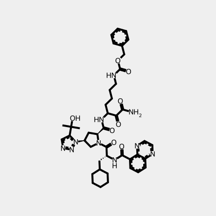 CC(C)(O)c1cnnn1[C@H]1C[C@@H](C(=O)NC(CCCCNC(=O)OCc2ccccc2)C(=O)C(N)=O)N(C(=O)[C@@H](CC2CCCCC2)NC(=O)c2cccc3nccnc23)C1